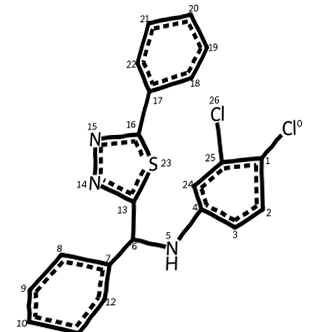 Clc1ccc(NC(c2ccccc2)c2nnc(-c3ccccc3)s2)cc1Cl